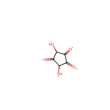 O=C1C(=O)C(O)C(=O)C1O